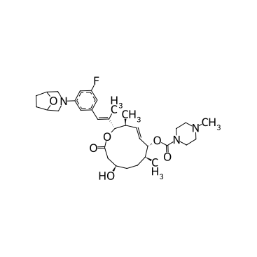 C/C(=C\c1cc(F)cc(N2CC3CCC(C2)O3)c1)[C@H]1OC(=O)C[C@H](O)CC[C@H](C)[C@@H](OC(=O)N2CCN(C)CC2)/C=C/[C@@H]1C